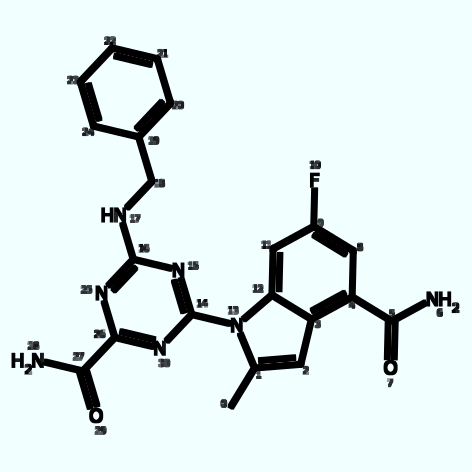 Cc1cc2c(C(N)=O)cc(F)cc2n1-c1nc(NCc2ccccc2)nc(C(N)=O)n1